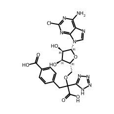 Nc1nc(Cl)nc2c1ncn2[C@@H]1O[C@H](COC(Cc2ccc(C(=O)O)cc2)(C(=O)O)c2nnn[nH]2)[C@@H](O)[C@H]1O